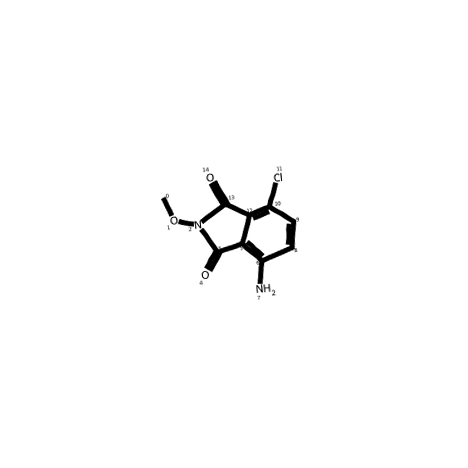 CON1C(=O)c2c(N)ccc(Cl)c2C1=O